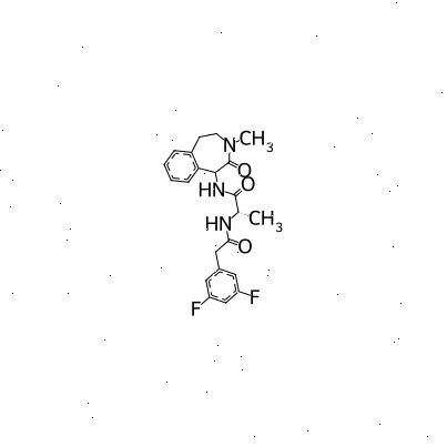 C[C@H](NC(=O)Cc1cc(F)cc(F)c1)C(=O)NC1C(=O)N(C)CCc2ccccc21